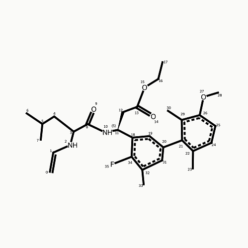 C=CNC(CC(C)C)C(=O)N[C@@H](CC(=O)OCC)c1cc(-c2c(C)ccc(OC)c2C)cc(C)c1F